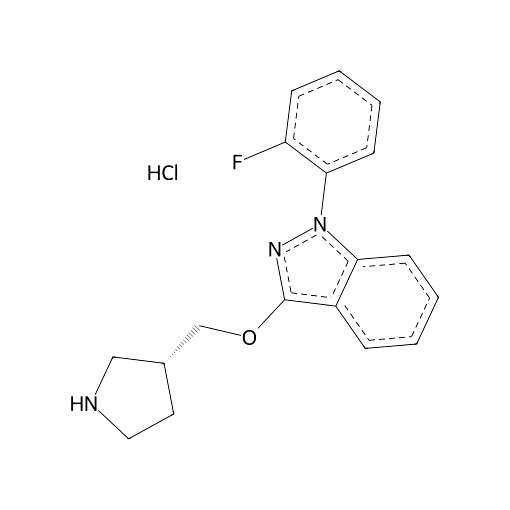 Cl.Fc1ccccc1-n1nc(OC[C@@H]2CCNC2)c2ccccc21